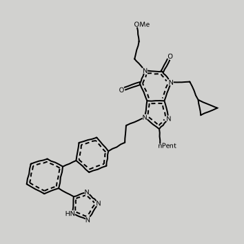 CCCCCc1nc2c(c(=O)n(CCOC)c(=O)n2CC2CC2)n1CCc1ccc(-c2ccccc2-c2nnn[nH]2)cc1